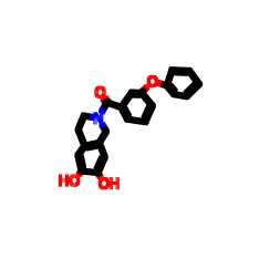 O=C(c1cccc(Oc2ccccc2)c1)N1CCc2cc(O)c(O)cc2C1